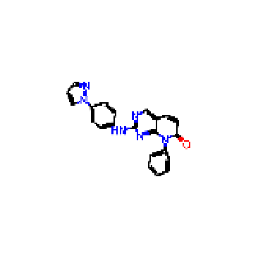 O=c1ccc2cnc(Nc3ccc(-n4cccn4)cc3)nc2n1-c1ccccc1